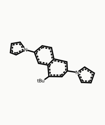 CC(C)(C)c1cc(-n2cccc2)cc2ccc(-n3cccc3)cc12